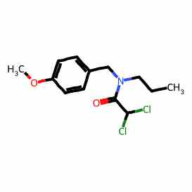 CCCN(Cc1ccc(OC)cc1)C(=O)C(Cl)Cl